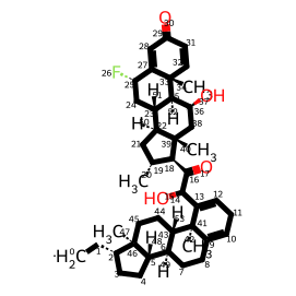 [CH2]C[C@H]1CC[C@H]2[C@@H]3CCC4=CCC=C(C(O)C(=O)[C@H]5[C@H](C)C[C@H]6[C@@H]7C[C@H](F)C8=CC(=O)C=C[C@]8(C)[C@H]7[C@@H](O)C[C@@]65C)[C@]4(C)[C@H]3CC[C@]12C